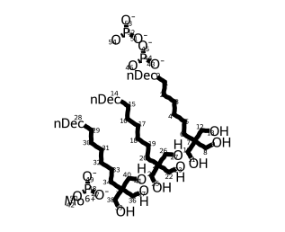 CCCCCCCCCCCCCCCCC(CO)(CO)CO.CCCCCCCCCCCCCCCCC(CO)(CO)CO.CCCCCCCCCCCCCCCCC(CO)(CO)CO.[Mo+6].[O-]P([O-])[O-].[O-]P([O-])[O-].[O-]P([O-])[O-]